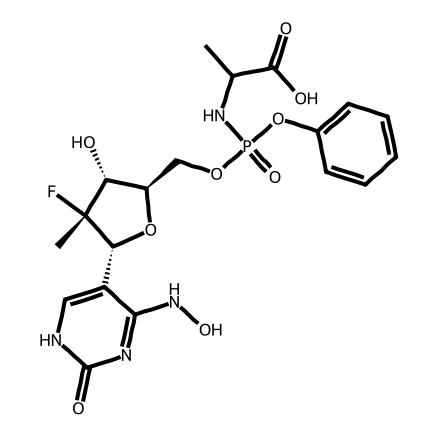 CC(NP(=O)(OC[C@H]1O[C@H](c2c[nH]c(=O)nc2NO)[C@](C)(F)[C@@H]1O)Oc1ccccc1)C(=O)O